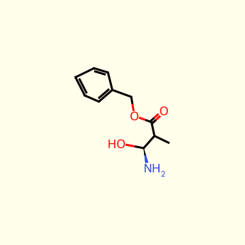 CC(C(=O)OCc1ccccc1)[C@@H](N)O